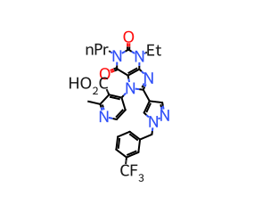 CCCn1c(=O)c2c(nc(-c3cnn(Cc4cccc(C(F)(F)F)c4)c3)n2-c2ccnc(C)c2C(=O)O)n(CC)c1=O